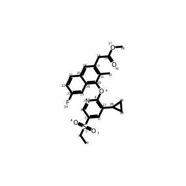 CCS(=O)(=O)c1cnc(Oc2c(C)c(CC(=O)OC)cc3ccc(F)cc23)c(C2CC2)c1